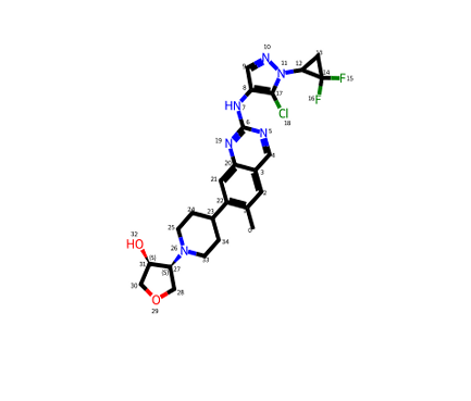 Cc1cc2cnc(Nc3cnn(C4CC4(F)F)c3Cl)nc2cc1C1CCN([C@H]2COC[C@H]2O)CC1